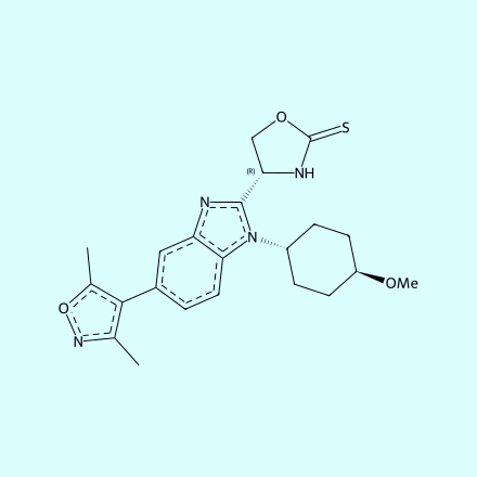 CO[C@H]1CC[C@H](n2c([C@@H]3COC(=S)N3)nc3cc(-c4c(C)noc4C)ccc32)CC1